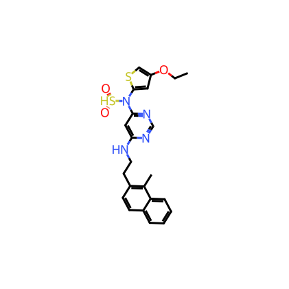 CCOc1csc(N(c2cc(NCCc3ccc4ccccc4c3C)ncn2)[SH](=O)=O)c1